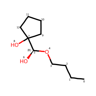 CCCCO[C@@H](O)C1(O)CCCC1